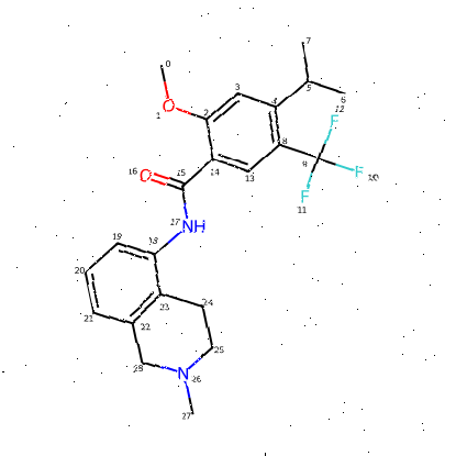 COc1cc(C(C)C)c(C(F)(F)F)cc1C(=O)Nc1cccc2c1CCN(C)C2